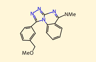 CNc1nc2nnc(-c3cccc(COC)c3)n2c2ccccc12